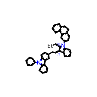 CC/C=c1\c(=C/Cc2ccc3c(c2)c2ccccc2n3-c2ccccc2)c2ccccc2n1-c1ccc2ccc3ccccc3c2c1